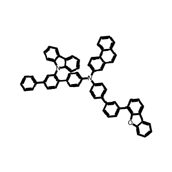 c1ccc(-c2ccc(-c3ccc(N(c4ccc(-c5cccc(-c6cccc7c6oc6ccccc67)c5)cc4)c4ccc5c(ccc6ccccc65)c4)cc3)c(-n3c4ccccc4c4ccccc43)c2)cc1